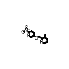 Cc1cccnc1COc1ccc([N+](=O)[O-])nc1